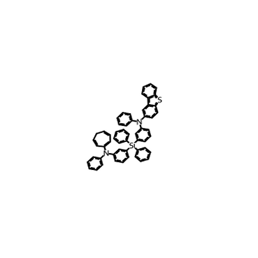 C1=CCC=CC(N(c2ccccc2)c2cccc([Si](c3ccccc3)(c3ccccc3)c3cccc(N(c4ccccc4)c4ccc5sc6ccccc6c5c4)c3)c2)=C1